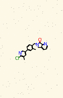 Cc1cc(-c2cnc(Cl)c(C)c2)ccc1CN1Cc2cccnc2C1=O